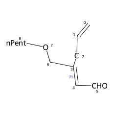 C=CC/C(=C\C=O)COCCCCC